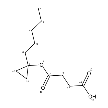 CCCCCC1(OC(=O)CCC(=O)O)CC1